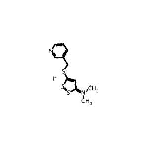 C[N+](C)=c1cc(SCc2cccnc2)ss1.[I-]